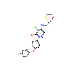 O=c1c(Cl)c(NC[C@H]2COCCS2)cnn1-c1ccc(Oc2ccc(F)cc2)cc1